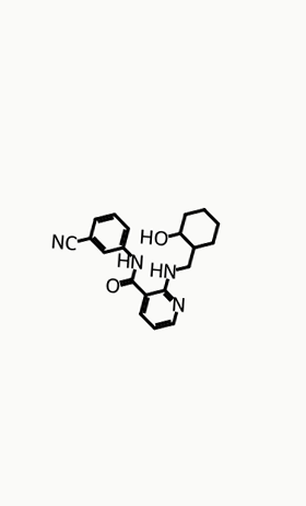 N#Cc1cccc(NC(=O)c2cccnc2NCC2CCCCC2O)c1